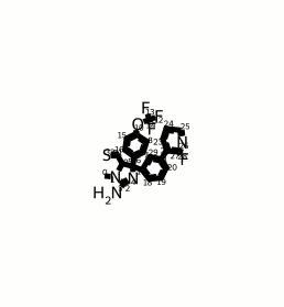 CN1C(N)=NC(c2ccc(OC(F)(F)F)cc2)(c2cccc(-c3cccnc3F)c2)C1C=S